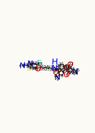 CN(C)c1ccc2c(c1)Oc1cc(N(C)C)ccc1C2(OC=O)c1cccc(C(=O)NCCCCCCOc2cc3sc(C#N)nc3cc2F)c1